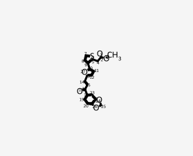 COC(=O)Cc1sccc1-c1ccc(/C=C/C(=O)c2ccc3c(c2)OCO3)o1